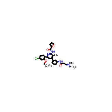 COCOc1cc(Cl)ccc1-c1cc(-c2cccc(NC(=O)CCN(C(=O)O)C(C)(C)C)c2)c(C#N)c(NC(=O)c2ccco2)n1